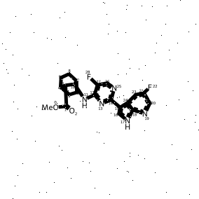 COC(=O)C1C2CCC(CC2)C1Nc1nc(-c2c[nH]c3ncc(F)cc23)ncc1F